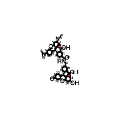 CC/N=c1\ccc2c(-c3ccc(C(=O)NCc4ccc(-c5c6ccc(=O)cc-6oc6cc(O)ccc56)c(C(=O)O)c4)cc3C(=O)O)c3ccc(N(C)C)cc3oc-2c1